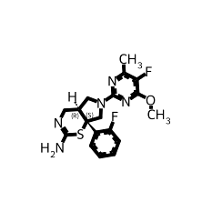 COc1nc(N2C[C@@H]3CN=C(N)S[C@@]3(c3ccccc3F)C2)nc(C)c1F